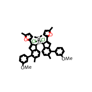 COc1cccc(-c2c(C)ccc3c2C=C(c2ccc(C)o2)[CH]3[Zr]([Cl])([Cl])([CH]2C(c3ccc(C)o3)=Cc3c2ccc(C)c3-c2cccc(OC)c2)=[Si](C)C)c1